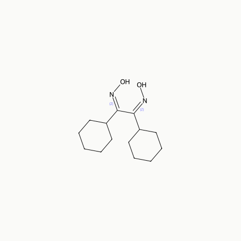 O/N=C(\C(=N/O)C1CCCCC1)C1CCCCC1